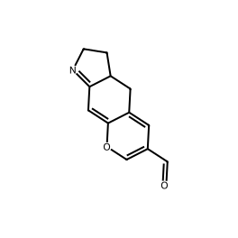 O=CC1=COC2=CC3=NCCC3CC2=C1